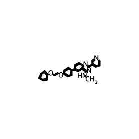 CNc1nc(-c2cccnc2)nc2ccc(-c3ccc(OCCOc4ccccc4)cc3)cc12